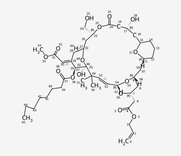 C=CCOC(=O)C[C@H]1C[C@H]2C[C@H]3CCCC(C[C@@H](O)CC(=O)O[C@@H](CO)C[C@@H]4C/C(=C\C(=O)OC)[C@H](OC(=O)CCCCCCC)[C@@](O)(O4)C(C)(C)/C=C/[C@H](O2)O1)O3